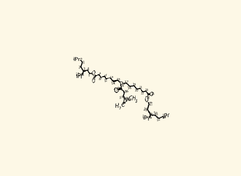 CC(C)CCC(CCOC(=O)CCCCCCCP(CCCCCCCC(=O)OCCC(CCC(C)C)C(C)C)C(=O)CCN(C)C)C(C)C